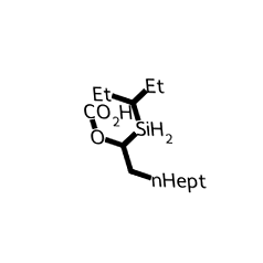 CCCCCCCCC(OC(=O)O)[SiH2]C(CC)CC